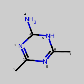 CC1=NC(N)NC(C)=N1